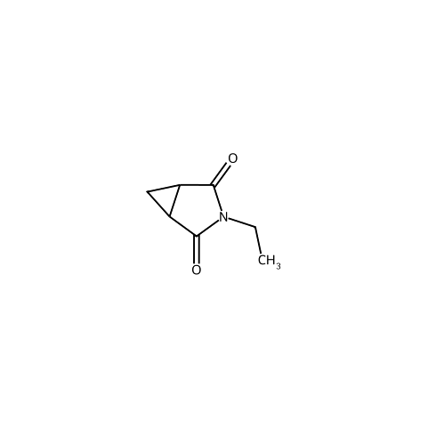 CCN1C(=O)C2CC2C1=O